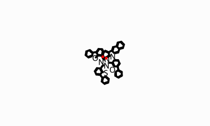 c1ccc2cc3c(cc2c1)c1ccccc1n3-c1ccc2c(oc3ccccc32)c1-c1nc(-c2cccc3c2oc2ccccc23)nc(-c2cccc3c2sc2ccccc23)n1